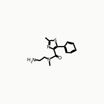 Cc1nc(C(=O)N(C)CCN)c(-c2ccccc2)s1